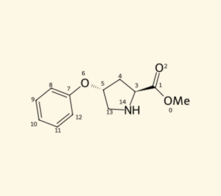 COC(=O)[C@@H]1C[C@@H](Oc2ccccc2)CN1